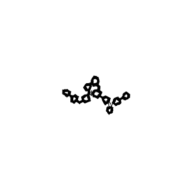 C1=CC=C(CC2=CC(c3ccc(N(c4ccccc4)c4ccc(-c5ccccc5)cc4)cc3)C=CC(N(C3=CCC=C(Cc4ccc(-c5ccccc5)cc4)C=C3)c3ccccc3)=C2)CC=C1